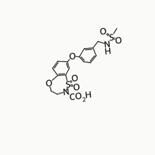 CS(=O)(=O)NCc1cccc(Oc2ccc3c(c2)S(=O)(=O)N(C(=O)O)CCO3)c1